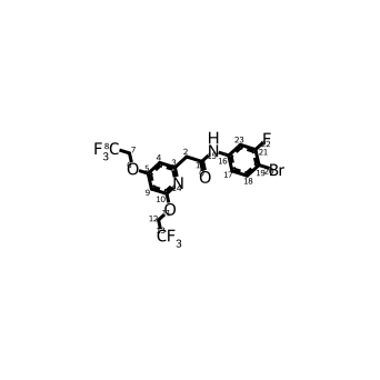 O=C(Cc1cc(OCC(F)(F)F)cc(OCC(F)(F)F)n1)Nc1ccc(Br)c(F)c1